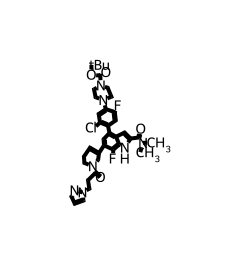 CN(C)C(=O)c1cc2c(-c3cc(F)c(N4CCN(C(=O)OC(C)(C)C)CC4)cc3Cl)cc(C3=CCCN(C(=O)CCn4cccn4)C3)c(F)c2[nH]1